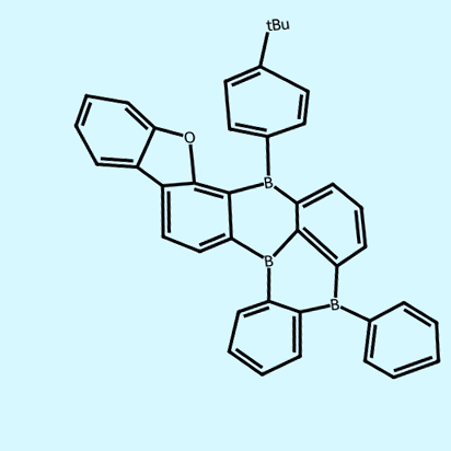 CC(C)(C)c1ccc(B2c3cccc4c3B(c3ccccc3B4c3ccccc3)c3ccc4c(oc5ccccc54)c32)cc1